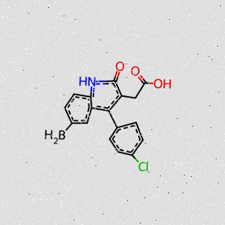 Bc1ccc2[nH]c(=O)c(CC(=O)O)c(-c3ccc(Cl)cc3)c2c1